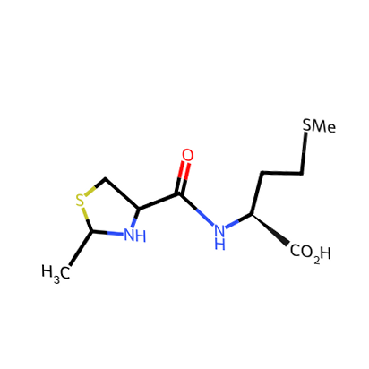 CSCC[C@H](NC(=O)C1CSC(C)N1)C(=O)O